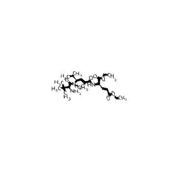 CCOC(=O)CC[C@@H](NC(=O)/C(C)=C/[C@H](C(C)C)N(C)C(=O)[C@@H](N)C(C)(C)C)C(=O)OCC